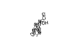 CC(OCc1ccccc1)[C@H](NC(=O)N(C)N)C(=O)N1CCC[C@H]1C1=N[C@](CO)(Cc2cccc(Cl)c2)CO1